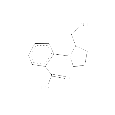 NCC1CCCN1c1ccccc1C(=O)O